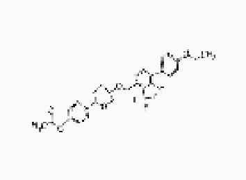 CCOc1ccc(-c2ccc(COC3CCC(c4ccc(OC(C)=O)cc4)OC3)c(C(F)(F)F)c2F)cc1